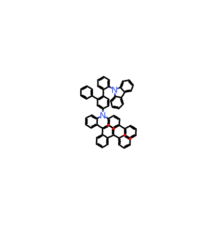 c1ccc(-c2ccc(N(c3ccc(-c4ccccc4-n4c5ccccc5c5ccccc54)c(-c4ccccc4)c3)c3ccccc3-c3ccc(-c4ccccc4)c4ccccc34)cc2)cc1